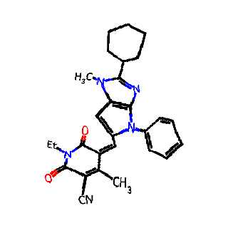 CCN1C(=O)C(C#N)=C(C)/C(=C/c2cc3c(nc(C4CCCCC4)n3C)n2-c2ccccc2)C1=O